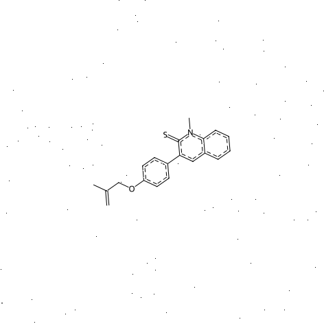 C=C(C)COc1ccc(-c2cc3ccccc3n(C)c2=S)cc1